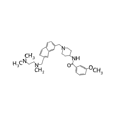 COc1cccc(C(=O)NC2CCN(Cc3ccc4ccc(CN(C)CCN(C)C)cc4c3)CC2)c1